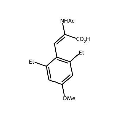 CCc1cc(OC)cc(CC)c1/C=C(/NC(C)=O)C(=O)O